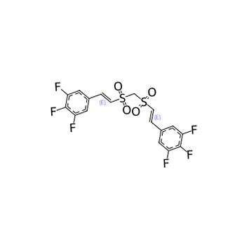 O=S(=O)(/C=C/c1cc(F)c(F)c(F)c1)CS(=O)(=O)/C=C/c1cc(F)c(F)c(F)c1